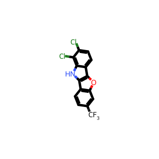 FC(F)(F)c1ccc2c(c1)oc1c3ccc(Cl)c(Cl)c3[nH]c21